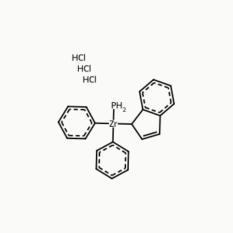 Cl.Cl.Cl.[PH2][Zr]([c]1ccccc1)([c]1ccccc1)[CH]1C=Cc2ccccc21